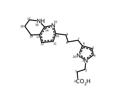 O=C(O)CCn1ccc(CCCc2ccc3c(n2)NCCC3)n1